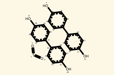 O=S=O.Oc1ccc(-c2ccc(O)cc2)cc1.Oc1ccc(-c2ccc(O)cc2)cc1